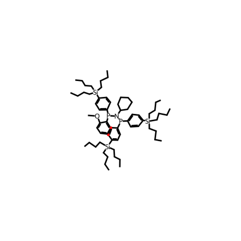 CCCC[Si](CCCC)(CCCC)c1ccc(P(c2ccc([Si](CCCC)(CCCC)CCCC)cc2)N(C2CCCCC2)P(c2ccc([Si](CCCC)(CCCC)CCCC)cc2)c2ccccc2OC)cc1